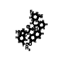 COc1ccc2cc(-c3cccnc3[C@H](Cc3cc(F)cc(F)c3)NC(=O)Cc3c[nH]c4ccc(F)cc34)ccc2c1